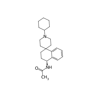 CC(=O)N[C@H]1CCC2(CCN(C3CCCCC3)CC2)c2ccccc21